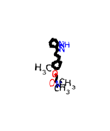 Cc1cc(C=Cc2n[nH]c3ccccc23)ccc1OCC(=O)N(C)C